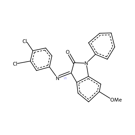 COc1ccc2c(c1)N(c1ccccc1)C(=O)/C2=N\c1ccc(Cl)c(Cl)c1